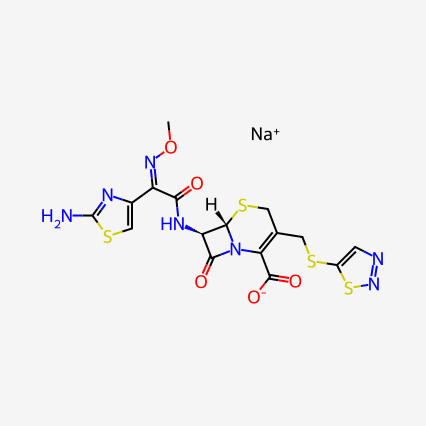 CO/N=C(\C(=O)N[C@@H]1C(=O)N2C(C(=O)[O-])=C(CSc3cnns3)CS[C@@H]12)c1csc(N)n1.[Na+]